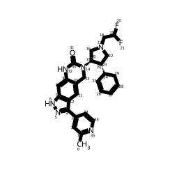 Cc1cc(-c2n[nH]c3cc4c(cc23)CN([C@H]2CN(CC(F)F)C[C@@H]2C2C=CC=CC2)C(=O)N4)ccn1